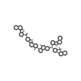 C=C(c1ccc2c(c1)oc1c3ccc(-c4cccc5c4c(C)cc4cc(N(c6ccc7c(c6)C(C)(C)c6c-7ccc7ccccc67)c6cccc7c6sc6ccc8ccccc8c67)ccc45)c(C)c3ccc21)c1cccc2c1sc1ccc3ccccc3c12